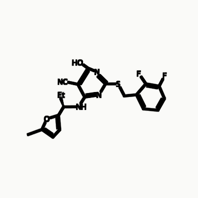 CC[C@@H](Nc1nc(SCc2cccc(F)c2F)nc(O)c1C#N)c1ccc(C)o1